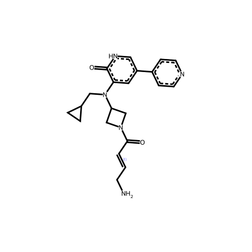 NC/C=C/C(=O)N1CC(N(CC2CC2)c2cc(-c3ccncc3)c[nH]c2=O)C1